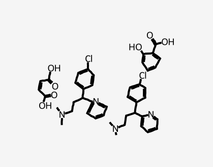 CN(C)CCC(c1ccc(Cl)cc1)c1ccccn1.CN(C)CCC(c1ccc(Cl)cc1)c1ccccn1.O=C(O)/C=C\C(=O)O.O=C(O)c1ccccc1O